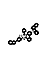 c1ccc(C2=NC(c3ccccc3-c3cccc(-n4c5ccccc5c5c6ccccc6ccc54)c3)=NC(c3ccc(-c4ccc5ccccc5c4)cc3)N2)cc1